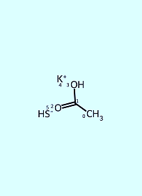 CC(=O)O.[K+].[SH-]